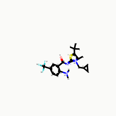 Cc1c(C(C)(C)C)s/c(=N\C(=O)c2cc(C(F)(F)F)ccc2N(C)C)n1CC1CC1